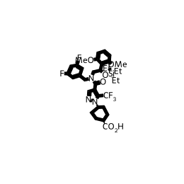 CC[Si](CC)(CC)OC(CN(Cc1cc(F)cc(F)c1)C(=O)c1cnn([C@H]2CC[C@H](C(=O)O)CC2)c1C(F)(F)F)c1c(OC)cccc1OC